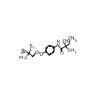 CCC(C)(C)C(=O)Nc1ccc(OOCC(C)(C)Br)cc1